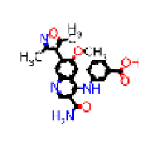 COc1cc2c(Nc3cccc(C(=O)O)c3)c(C(N)=O)cnc2cc1-c1c(C)noc1C